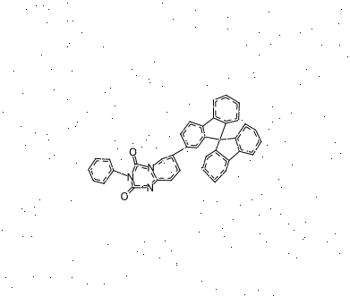 O=c1nc2ccc(-c3ccc4c(c3)C3(c5ccccc5-c5ccccc53)c3ccccc3-4)cn2c(=O)n1-c1ccccc1